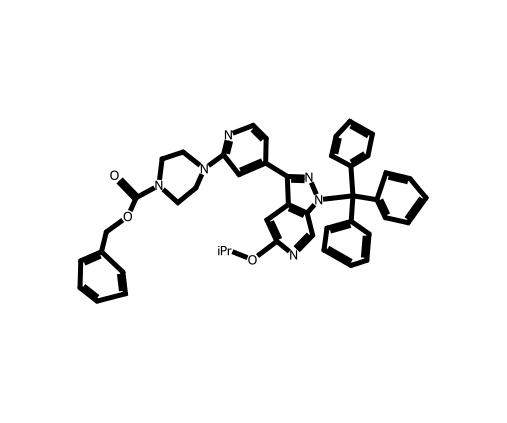 CC(C)Oc1cc2c(-c3ccnc(N4CCN(C(=O)OCc5ccccc5)CC4)c3)nn(C(c3ccccc3)(c3ccccc3)c3ccccc3)c2cn1